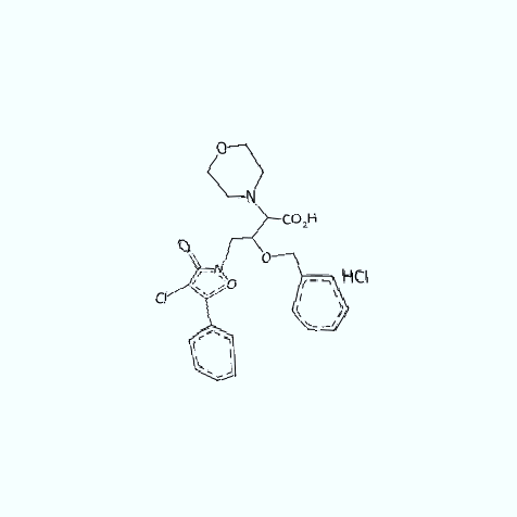 Cl.O=C(O)C(C(Cn1oc(-c2ccccc2)c(Cl)c1=O)OCc1ccccc1)N1CCOCC1